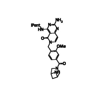 CCCC(C)Nc1nc(N)nc2ccn(Cc3ccc(C(=O)N4CC5CC(C4)N5)cc3OC)c(=O)c12